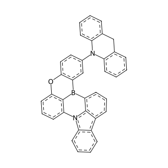 c1ccc2c(c1)Cc1ccccc1N2c1ccc2c(c1)B1c3c(cccc3-n3c4ccccc4c4cccc1c43)O2